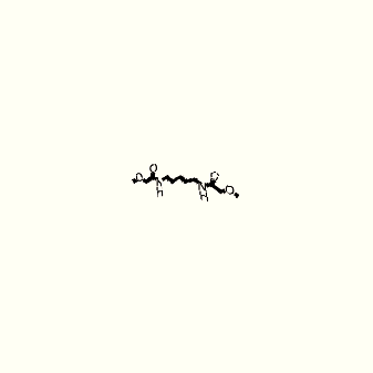 COCC(=O)NCCCCCNC(=O)COC